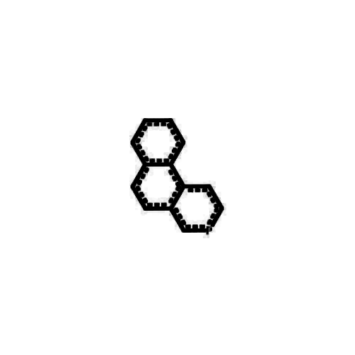 c1ccc2c(c1)ccc1cpccc12